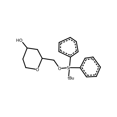 CC(C)(C)[Si](OCC1CC(O)CCO1)(c1ccccc1)c1ccccc1